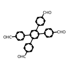 O=Cc1ccc(-c2cc(-c3ccc(C=O)cc3)c(-c3ccc(C=O)cc3)cc2-c2ccc(C=O)cc2)cc1